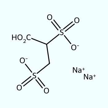 O=C(O)C(CS(=O)(=O)[O-])S(=O)(=O)[O-].[Na+].[Na+]